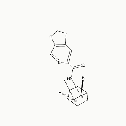 C[C@H]1[C@H](NC(=O)c2cc3c(cn2)OCC3)C2CCN1CC2